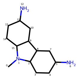 CN1C2CCC(N)CC2C2CC(N)CCC21